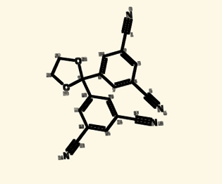 N#Cc1cc(C#N)cc(C2(c3cc(C#N)cc(C#N)c3)OCCO2)c1